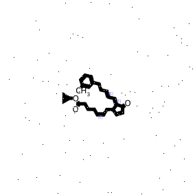 Cc1cccc(CC/C=C/C=C2/C(=O)C=CC2C/C=C\CCCC(=O)OC2CC2)c1